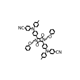 Cc1ccc(N(c2ccc(C#N)cc2)c2ccc(C3=C4C(=O)N(CCOc5ccccc5)C(c5ccc(N(c6ccc(C)cc6)c6ccc(C#N)cc6)cc5)=C4C(=O)N3CCOc3ccccc3)cc2)cc1